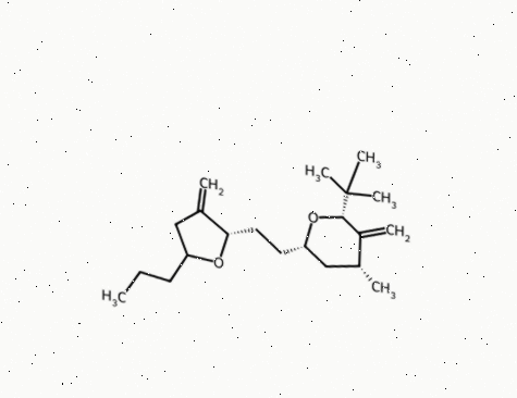 C=C1CC(CCC)O[C@H]1CC[C@H]1C[C@@H](C)C(=C)[C@@H](C(C)(C)C)O1